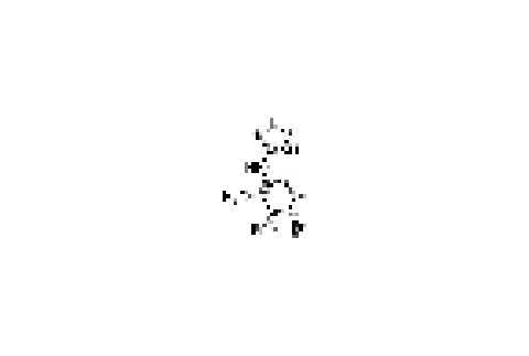 Cc1c(NC2=NCCN2)ccc(Br)c1C(C)C